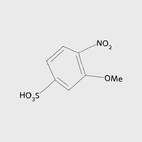 COc1cc(S(=O)(=O)O)ccc1[N+](=O)[O-]